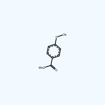 COC(=O)c1ccc(OC#N)cc1